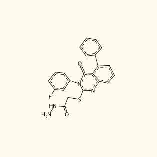 NNC(=O)CSc1nc2cccc(-c3ccccc3)c2c(=O)n1-c1cccc(F)c1